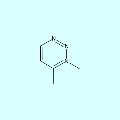 Cc1ccnn[n+]1C